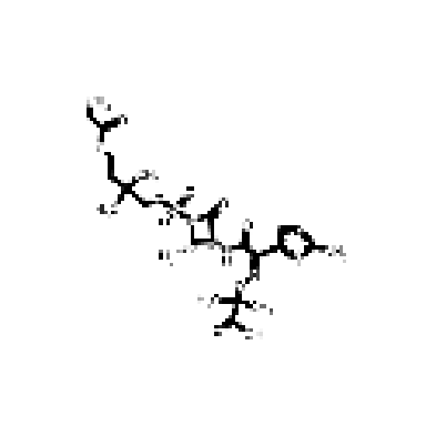 CCC(=O)OCCC(C)(C)COS(=O)(=O)N1C(=O)[C@@H](NC(=O)C(=NOC(C)(C)C(=O)O)c2csc(N)n2)[C@@H]1C